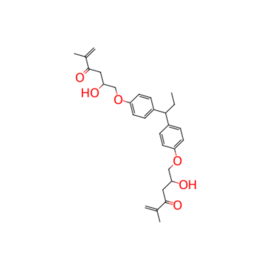 C=C(C)C(=O)CC(O)COc1ccc(C(CC)c2ccc(OCC(O)CC(=O)C(=C)C)cc2)cc1